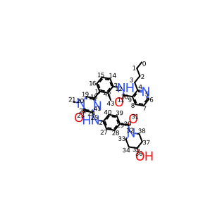 CCCCc1ncccc1C(=O)Nc1cccc(-c2cn(C)c(=O)c(Nc3ccc(C(=O)N4CCC(O)CC4)cc3)n2)c1C